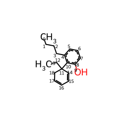 CCCCc1cccc(O)c1C1(CC)C=CC=CC1